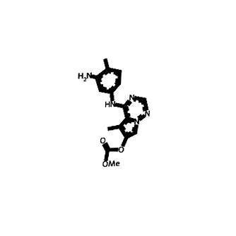 COC(=O)Oc1cn2ncnc(Nc3ccc(C)c(N)c3)c2c1C